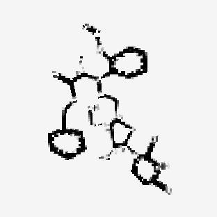 C[C@@H](C(=O)OCc1ccccc1)N(OC[C@H]1O[C@@H](n2ccc(=O)[nH]c2=O)[C@H](O)[C@@H]1CO)c1ccccc1OP=O